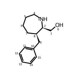 OC[C@@H]1NCCCC[C@@H]1Cc1ccccc1